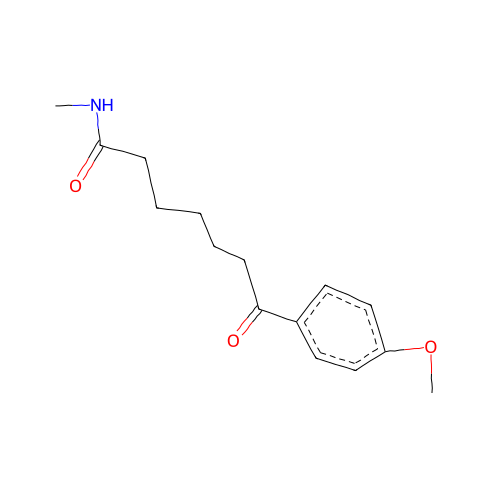 CNC(=O)CCCCCC(=O)c1ccc(OC)cc1